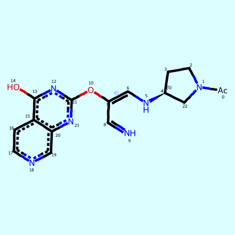 CC(=O)N1CC[C@H](N/C=C(\C=N)Oc2nc(O)c3ccncc3n2)C1